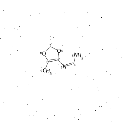 CC1=C(/N=C\N)OCO1